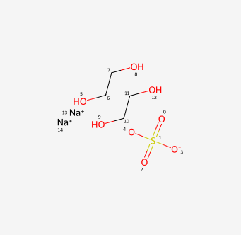 O=S(=O)([O-])[O-].OCCO.OCCO.[Na+].[Na+]